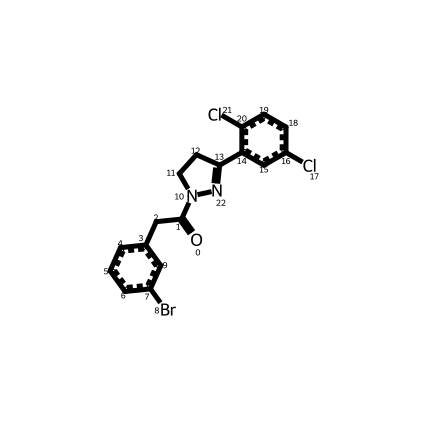 O=C(Cc1cccc(Br)c1)N1CCC(c2cc(Cl)ccc2Cl)=N1